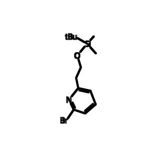 CC(C)(C)[Si](C)(C)OCCc1cccc(Br)n1